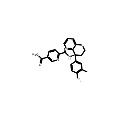 COC(=O)c1ccc(C(=O)N[C@]2(c3ccc(C(F)(F)F)c(F)c3)CCOc3cccnc32)nc1